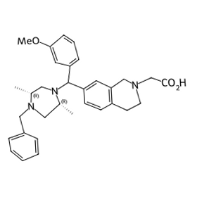 COc1cccc(C(c2ccc3c(c2)CN(CC(=O)O)CC3)N2C[C@@H](C)N(Cc3ccccc3)C[C@H]2C)c1